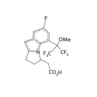 COC(c1cc(F)cc2cc3n(c12)C(CC(=O)O)CC3)(C(F)(F)F)C(F)(F)F